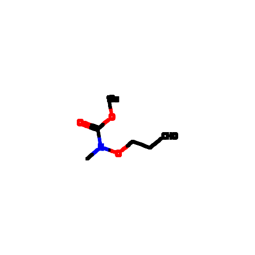 CN(OCCC=O)C(=O)OC(C)(C)C